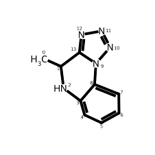 CC1Nc2ccccc2-n2nnnc21